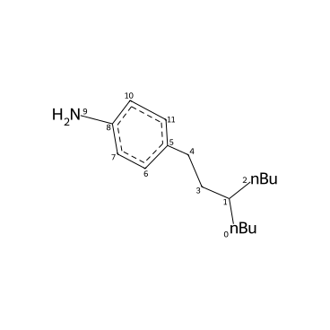 CCCCC(CCCC)CCc1ccc(N)cc1